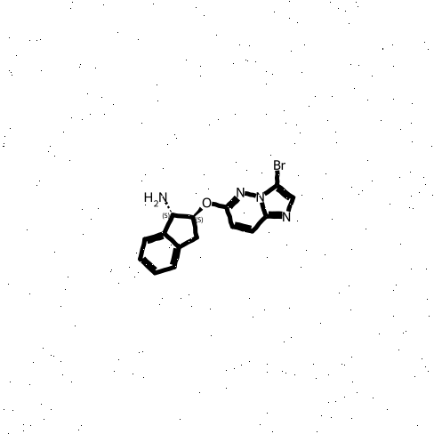 N[C@H]1c2ccccc2C[C@@H]1Oc1ccc2ncc(Br)n2n1